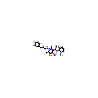 CCc1cccc(CC)c1NC(=O)c1c(C)n(CCCCc2ccccc2)c(C)c(Br)c1=O